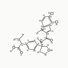 COC(=O)C(c1ccc(C2(N(C)C(=O)c3cc4c(Cl)c(Cl)ccc4n3C)CCOC2)cc1)C(C)C